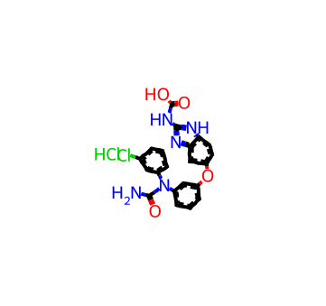 Cl.NC(=O)N(c1cccc(Cl)c1)c1cccc(Oc2ccc3[nH]c(NC(=O)O)nc3c2)c1